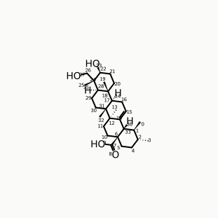 C[C@H]1[C@H](C)CC[C@]2(C(=O)O)CC[C@]3(C)C(=CC[C@@H]4[C@@]5(C)CC[C@H](O)[C@@](C)(CO)[C@@H]5CC[C@]43C)[C@H]12